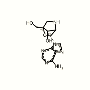 Nc1ncnc2c1ncn2[C@@H]1O[C@]2(CO)CNC1C2O